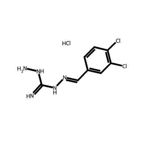 Cl.N=C(NN)N/N=C/c1ccc(Cl)c(Cl)c1